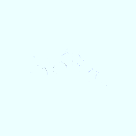 Cc1nnc(Cn2ncc3ncc(-c4ccc(C(F)F)s4)cc32)o1